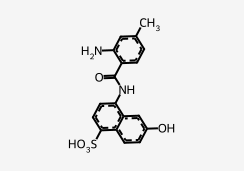 Cc1ccc(C(=O)Nc2ccc(S(=O)(=O)O)c3ccc(O)cc23)c(N)c1